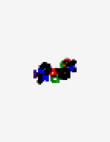 CC(=O)N(C)c1ccc(Cl)c(COc2cccn3c(I)c(C)nc23)c1Cl